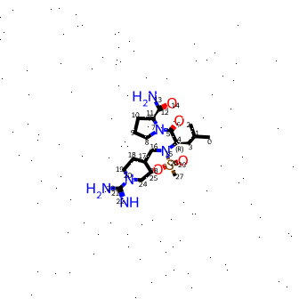 CC(C)C[C@H](C(=O)N1CCC[C@H]1C(N)=O)N(CC1CCN(C(=N)N)CC1)S(C)(=O)=O